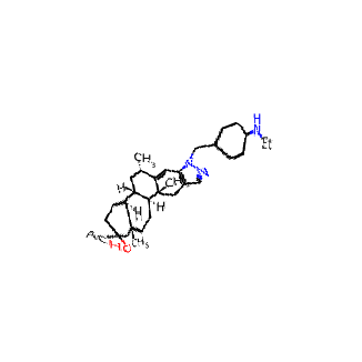 CCNC1CCC(Cn2ncc3c2C=C2[C@@H](C)C[C@@H]4[C@H](CC[C@@]5(C)[C@H]4CC[C@]5(O)C(C)=O)[C@@]2(C)C3)CC1